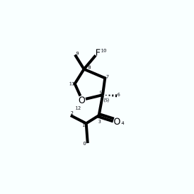 CC(C)C(=O)[C@]1(C)CC(C)(F)CO1